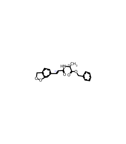 C[C@H](NC(=O)/C=C/c1ccc2c(c1)OOC2)C(=O)OCc1ccccc1